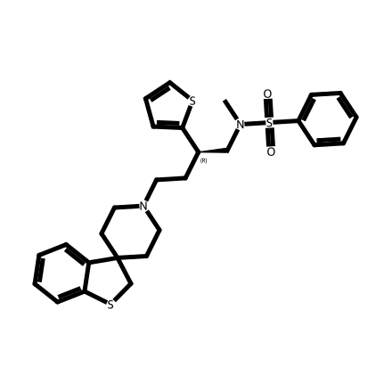 CN(C[C@@H](CCN1CCC2(CC1)CSc1ccccc12)c1cccs1)S(=O)(=O)c1ccccc1